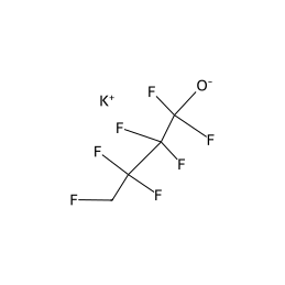 [K+].[O-]C(F)(F)C(F)(F)C(F)(F)CF